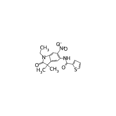 CCN1C(=O)C(C)(C)c2cc(NC(=O)c3cccs3)c([N+](=O)[O-])cc21